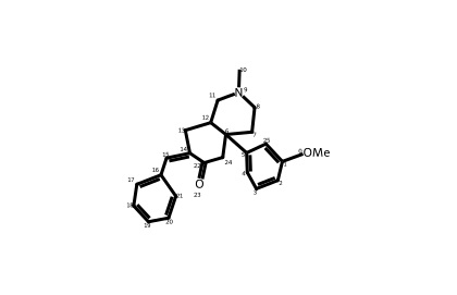 COc1cccc(C23CCN(C)CC2C/C(=C/c2ccccc2)C(=O)C3)c1